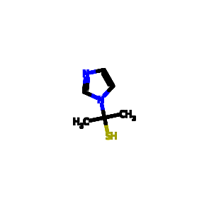 CC(C)(S)n1ccnc1